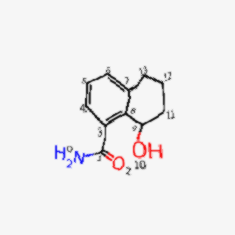 NC(=O)c1[c]ccc2c1C(O)CCC2